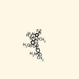 COc1cc2nc(C)nc(N[C@H](C)c3cc(N)cc(C(F)(F)F)c3)c2cc1OC(=O)N1CCC2(CC1)COC(C)C2N